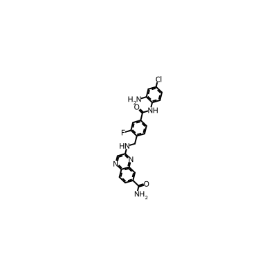 NC(=O)c1ccc2ncc(NCc3ccc(C(=O)Nc4ccc(Cl)cc4N)cc3F)nc2c1